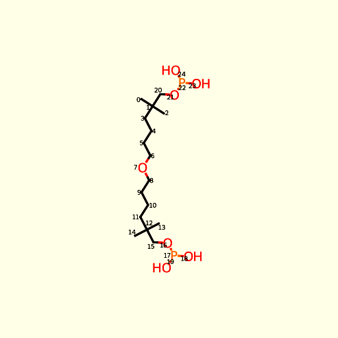 CC(C)(CCCCOCCCCC(C)(C)COP(O)O)COP(O)O